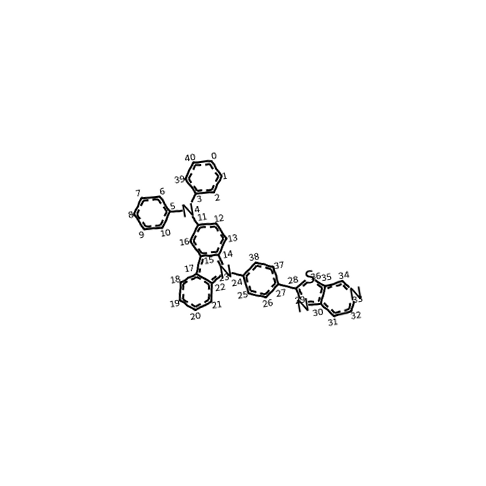 c1ccc(N(c2ccccc2)c2ccc3c(c2)c2ccccc2n3-c2ccc(-c3nc4ccncc4s3)cc2)cc1